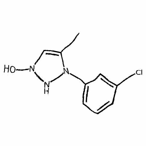 CC1=CN(O)NN1c1cccc(Cl)c1